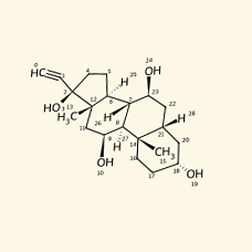 C#C[C@]1(O)CC[C@H]2[C@H]3[C@H]([C@@H](O)C[C@@]21C)[C@@]1(C)CC[C@@H](O)C[C@H]1C[C@@H]3O